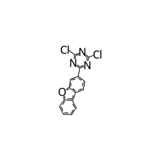 Clc1nc(Cl)nc(-c2ccc3c(c2)oc2ccccc23)n1